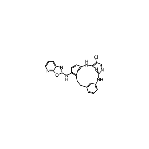 Clc1cnc2nc1Nc1ccc(Nc3nc4cccnc4o3)c(c1)CCc1cccc(c1)N2